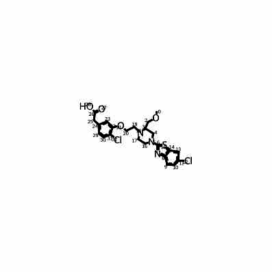 COCC1CN(c2nc3ccc(Cl)cc3s2)CCN1CCOc1cc(CC(=O)O)ccc1Cl